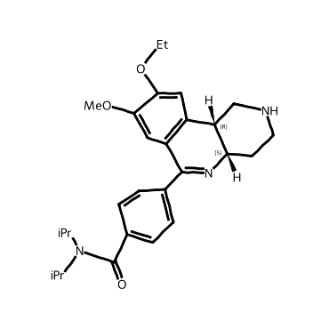 CCOc1cc2c(cc1OC)C(c1ccc(C(=O)N(C(C)C)C(C)C)cc1)=N[C@H]1CCNC[C@@H]21